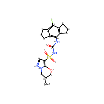 CO[C@H]1COc2c(S(=O)(=O)NC(=O)Nc3c4c(c(F)c5c3CCC5)CCC4)cnn2C1